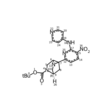 CC(C)(C)OC(=O)N1CC2CC[C@@H]1CN2c1ccc([N+](=O)[O-])c(Nc2ccncc2)n1